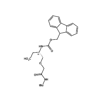 CC(C)(C)NC(=O)COC[C@H](CC(=O)O)NC(=O)OCC1c2ccccc2-c2ccccc21